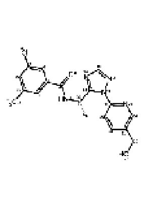 C[C@H](NC(=O)c1cc(Cl)cc(C(F)(F)F)c1)c1ncnn1-c1ccc(CO)cn1